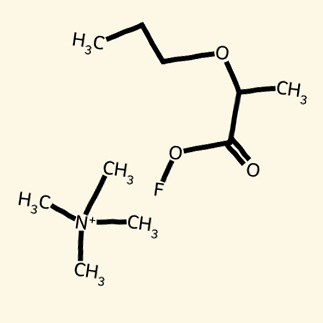 CCCOC(C)C(=O)OF.C[N+](C)(C)C